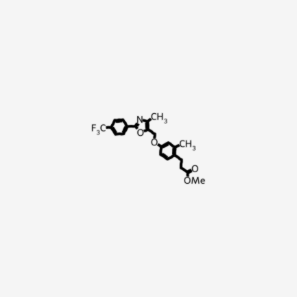 COC(=O)CCc1ccc(OCc2oc(-c3ccc(C(F)(F)F)cc3)nc2C)cc1C